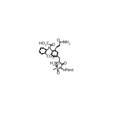 CCCCCN(C(=O)[C@@H](N)Cc1ccc(N(C(=O)C(=O)O)c2ccccc2C(=O)O)c(C=CC(N)=O)c1)S(C)(=O)=O